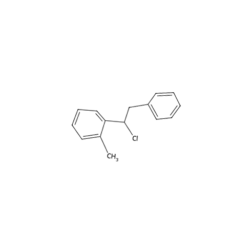 Cc1ccccc1C(Cl)Cc1ccccc1